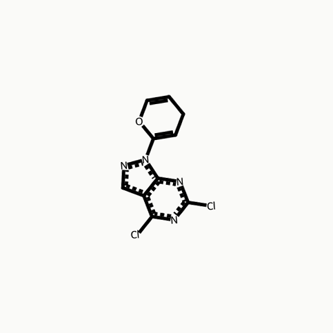 Clc1nc(Cl)c2cnn(C3=CCC=CO3)c2n1